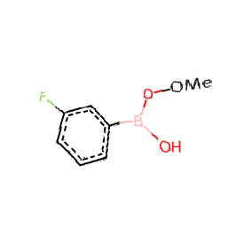 COOB(O)c1cccc(F)c1